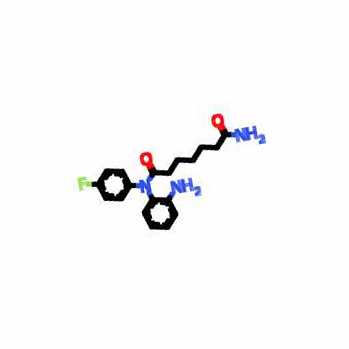 NC(=O)CCCCCC(=O)N(c1ccc(F)cc1)c1ccccc1N